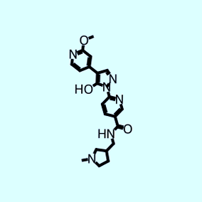 COc1cc(-c2cnn(-c3ccc(C(=O)NCC4CCN(C)C4)cn3)c2O)ccn1